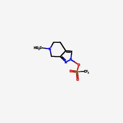 O=C(O)N1CCc2cn(OS(=O)(=O)C(F)(F)F)nc2C1